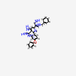 N=C/C(=C\NCc1ccccc1)c1cc(N)c(C(=N)N)c(-c2ccc(Oc3ccccc3)cc2)n1